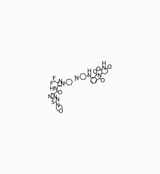 CN(C[C@H]1CC[C@H](n2cc(NC(=O)c3cnc4sc(N5CCOCC5)nn34)c(C(F)F)n2)CC1)[C@H]1CC[C@H](Nc2cccc3c2C(=O)N(C2CCC(=O)NC2=O)C3=O)CC1